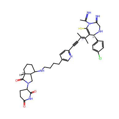 CC(=N)N1C(=N)CN[C@@H](c2ccc(Cl)cc2)C(/C(C)=C(\C)C#Cc2ccc(CCCCNC3CCC[C@H]4C(=O)N(C5CCC(=O)NC5=O)CC34)cn2)=C1S